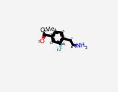 COC(=O)c1ccc(CCN)c(F)c1